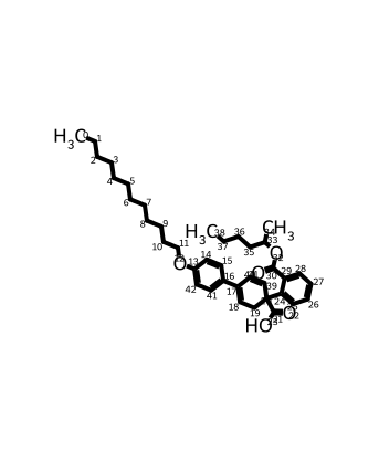 CCCCCCCCCCCCOc1ccc(C2=CCC(C(=O)O)(c3ccccc3C(=O)OC(C)CCCC)C=C2)cc1